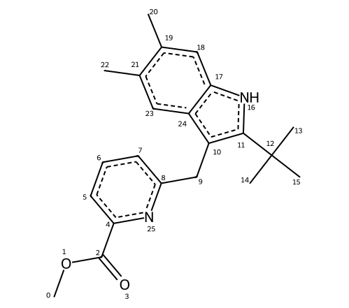 COC(=O)c1cccc(Cc2c(C(C)(C)C)[nH]c3cc(C)c(C)cc23)n1